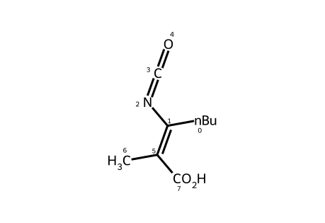 CCCC/C(N=C=O)=C(/C)C(=O)O